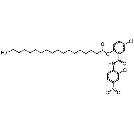 CCCCCCCCCCCCCCCCCC(=O)Oc1ccc(Cl)cc1C(=O)Nc1ccc([N+](=O)[O-])cc1Cl